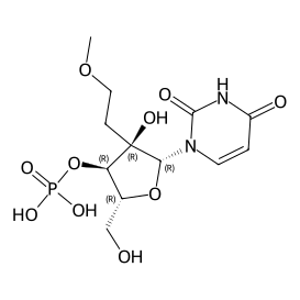 COCC[C@@]1(O)[C@H](OP(=O)(O)O)[C@@H](CO)O[C@H]1n1ccc(=O)[nH]c1=O